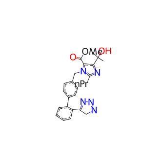 CCCc1nc(C(C)(C)O)c(C(=O)OC)n1Cc1ccc(-c2ccccc2C2=NN=NC2)cc1